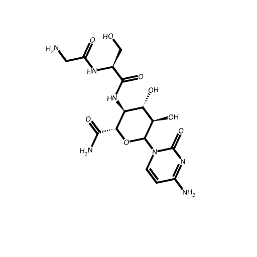 NCC(=O)N[C@@H](CO)C(=O)N[C@H]1[C@H](O)[C@@H](O)C(n2ccc(N)nc2=O)O[C@@H]1C(N)=O